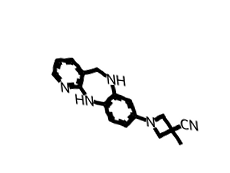 CC1(C#N)CN(c2ccc3c(c2)NCc2cccnc2N3)C1